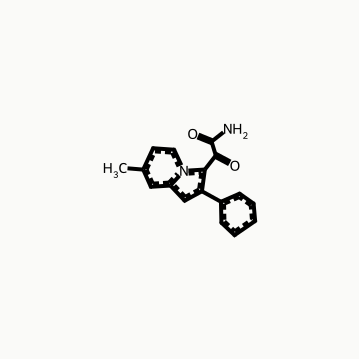 Cc1ccn2c(C(=O)C(N)=O)c(-c3ccccc3)cc2c1